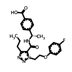 CCCc1nnn(CCOc2ccc(F)cc2)c1C(=O)N[C@@H](C)c1ccc(C(=O)O)cc1